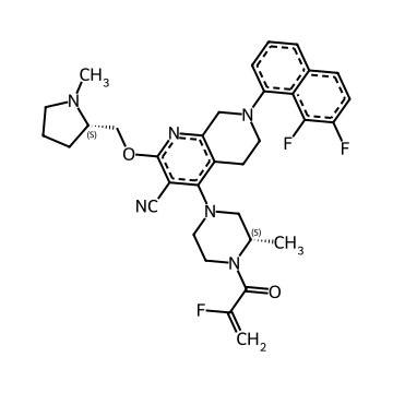 C=C(F)C(=O)N1CCN(c2c(C#N)c(OC[C@@H]3CCCN3C)nc3c2CCN(c2cccc4ccc(F)c(F)c24)C3)C[C@@H]1C